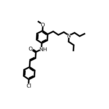 CCCN(CCC)CCCc1cc(NC(=O)C=Cc2ccc(Cl)cc2)ccc1OC